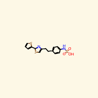 O=S(=O)(O)Nc1ccc(CCc2csc(-c3cccs3)n2)cc1